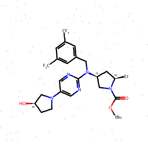 CC[C@@H]1C[C@H](N(Cc2cc(C(F)(F)F)cc(C(F)(F)F)c2)c2ncc(N3CC[C@@H](O)C3)cn2)CN1C(=O)OC(C)(C)C